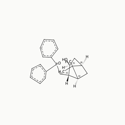 CC1(C)[C@H]2C[C@H](O)[C@@H](CP(=O)(c3ccccc3)c3ccccc3)[C@@H]1C2